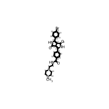 CN1CCN(CCNC(=O)c2ccc(C3=C4C(=O)NC(c5ccc(Br)cc5)=C4C(=O)N3)cc2)CC1